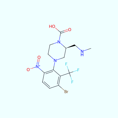 CNC[C@H]1CN(c2c([N+](=O)[O-])ccc(Br)c2C(F)(F)F)CCN1C(=O)O